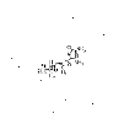 CCC(C)(C)NC(=O)/C=C(\C)OC(=O)c1nc(Cl)c(N)nc1N